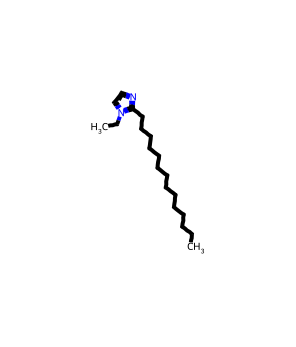 CCCCCCCCCCCCCCc1nccn1CC